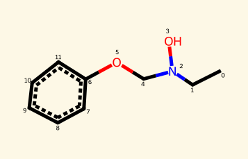 CCN(O)COc1ccccc1